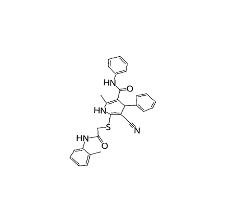 CC1=C(C(=O)Nc2ccccc2)C(c2ccccc2)C(C#N)=C(SCC(=O)Nc2ccccc2C)N1